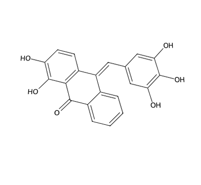 O=C1c2ccccc2C(=Cc2cc(O)c(O)c(O)c2)c2ccc(O)c(O)c21